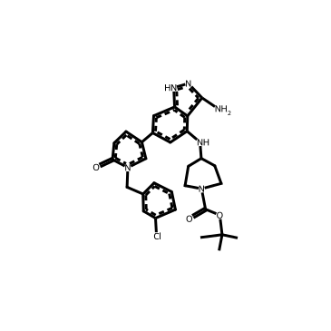 CC(C)(C)OC(=O)N1CCC(Nc2cc(-c3ccc(=O)n(Cc4cccc(Cl)c4)c3)cc3[nH]nc(N)c23)CC1